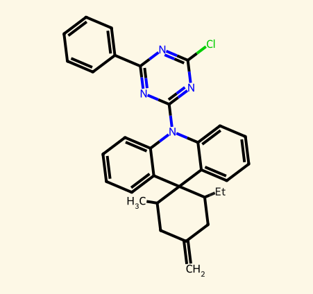 C=C1CC(C)C2(c3ccccc3N(c3nc(Cl)nc(-c4ccccc4)n3)c3ccccc32)C(CC)C1